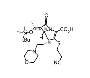 C[C@@H](O[Si](C)(C)C(C)(C)C)[C@H]1C(=O)N2C(C(=O)O)=C(SCCC#N)[C@H](CCN3CCOCC3)[C@H]12